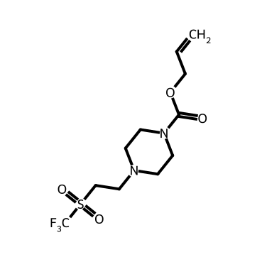 C=CCOC(=O)N1CCN(CCS(=O)(=O)C(F)(F)F)CC1